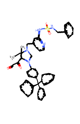 CC1(C)C(C(=O)C=O)N(c2ccc(C(c3ccccc3)(c3ccccc3)c3ccccc3)cc2)CN1Cc1ccnc(NS(=O)(=O)NCc2ccccc2)c1